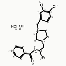 CC(C)C(CN1CCN(Cc2ccc(Cl)c(Cl)c2)CC1)NC(=O)c1ccncc1.Cl.Cl